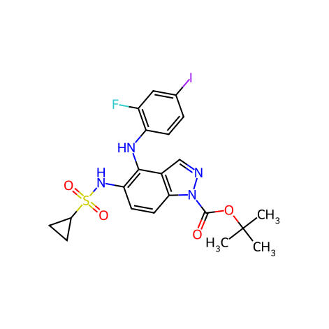 CC(C)(C)OC(=O)n1ncc2c(Nc3ccc(I)cc3F)c(NS(=O)(=O)C3CC3)ccc21